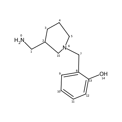 NCC1CCCN(Cc2ccccc2O)C1